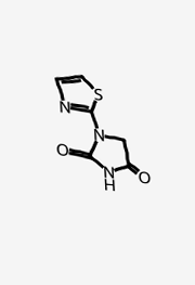 O=C1CN(c2nccs2)C(=O)N1